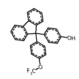 Oc1ccc(C2(c3ccc(OC(F)(F)F)cc3)c3ccccc3-c3ccccc32)cc1